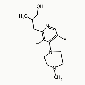 CC(CO)Cc1ncc(F)c(N2CCN(C)CC2)c1F